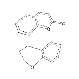 O=c1ccc2ccccc2o1.c1ccc2c(c1)CCCO2